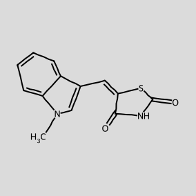 Cn1cc(C=C2SC(=O)NC2=O)c2ccccc21